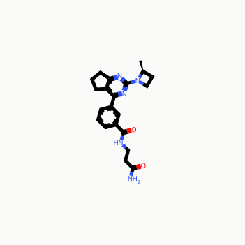 C[C@H]1CCN1c1nc2c(c(-c3cccc(C(=O)NCCC(N)=O)c3)n1)CCC2